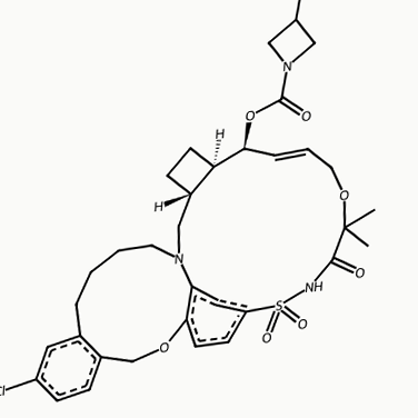 CC1(C)OC/C=C/[C@H](OC(=O)N2CC(O)C2)[C@@H]2CC[C@H]2CN2CCCCc3cc(Cl)ccc3COc3ccc(cc32)S(=O)(=O)NC1=O